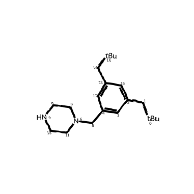 CC(C)(C)Cc1cc(CN2CCNCC2)cc(CC(C)(C)C)c1